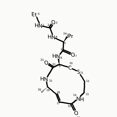 CCNC(=O)N[C@H](C(=O)N[C@H]1CSCCNC(=O)/C=C/[C@H](C)NC1=O)C(C)C